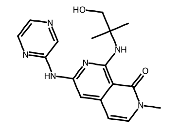 Cn1ccc2cc(Nc3cnccn3)nc(NC(C)(C)CO)c2c1=O